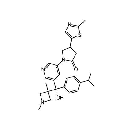 Cc1ncc(C2CC(=O)N(c3cncc([C@@](O)(c4ccc(C(C)C)cc4)C4(C)CN(C)C4)c3)C2)s1